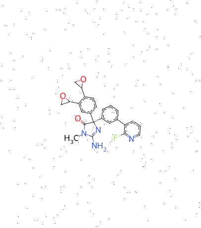 CN1C(=O)C(c2cccc(-c3cccnc3F)c2)(c2ccc(C3CO3)c(C3CO3)c2)N=C1N